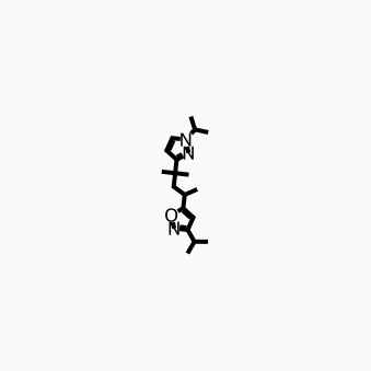 CC(C)c1cc(C(C)CC(C)(C)c2ccn(C(C)C)n2)on1